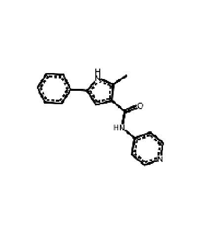 Cc1[nH]c(-c2ccccc2)cc1C(=O)Nc1ccncc1